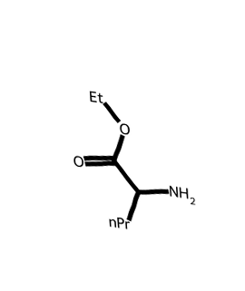 [CH2]COC(=O)C(N)CCC